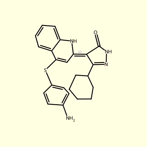 Nc1ccc(SC2=C/C(=C3/C(=O)NN=C3C3CCCCC3)Nc3ccccc32)cc1